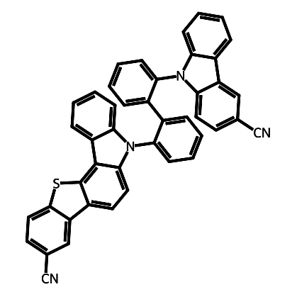 N#Cc1ccc2sc3c(ccc4c3c3ccccc3n4-c3ccccc3-c3ccccc3-n3c4ccccc4c4cc(C#N)ccc43)c2c1